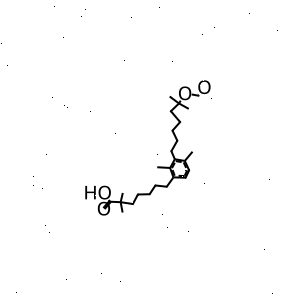 Cc1ccc(CCCCCC(C)(C)C(=O)O)c(C)c1CCCCCC(C)(C)OC=O